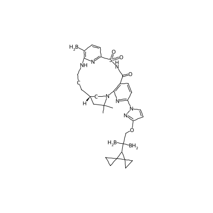 Bc1ccc2nc1NCCC[C@@H]1CN(c3nc(-n4ccc(OCC(B)(B)C5C6(CC6)C56CC6)n4)ccc3C(=O)NS2(=O)=O)C(C)(C)C1